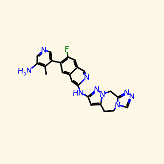 Cc1c(N)cncc1-c1cc2cc(Nc3cc4n(n3)Cc3nncn3CC4)ncc2cc1F